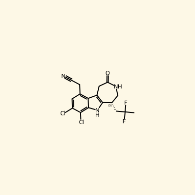 CC(F)(F)C[C@H]1CNC(=O)Cc2c1[nH]c1c(Cl)c(Cl)cc(CC#N)c21